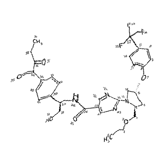 CCOC[C@@H]1C[C@@H](Oc2ccc(C(F)(F)F)cc2)CN1c1ncc(C(=O)N[C@@H](CO)c2ccc(C(=O)C(=O)CC)cc2)cn1